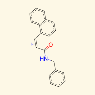 O=C(/C=C\c1cccc2ccccc12)NCc1ccccc1